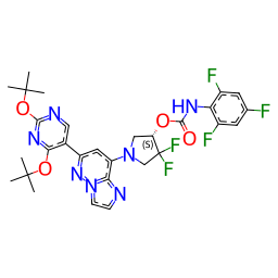 CC(C)(C)Oc1ncc(-c2cc(N3C[C@H](OC(=O)Nc4c(F)cc(F)cc4F)C(F)(F)C3)c3nccn3n2)c(OC(C)(C)C)n1